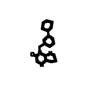 O=c1cnc2cccnc2n1Cc1cccc(-c2ccccc2)c1